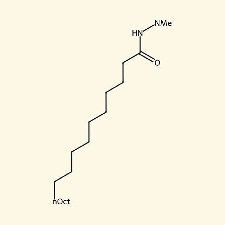 CCCCCCCCCCCCCCCCCC(=O)NNC